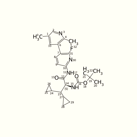 Cc1cnc(C)c(-c2ccc(NC(=O)[C@@H](NC(=O)OC(C)(C)C)C(C3CC3)C3CC3)nc2F)c1